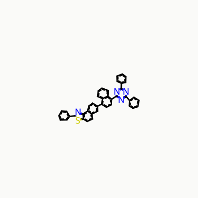 c1ccc(-c2nc(-c3ccccc3)nc(-c3ccc(-c4ccc5c(ccc6sc(-c7ccccc7)nc65)c4)c4ccccc34)n2)cc1